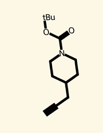 C#CCC1CCN(C(=O)OC(C)(C)C)CC1